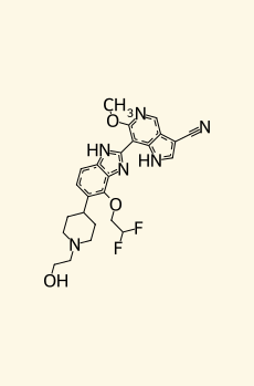 COc1ncc2c(C#N)c[nH]c2c1-c1nc2c(OCC(F)F)c(C3CCN(CCO)CC3)ccc2[nH]1